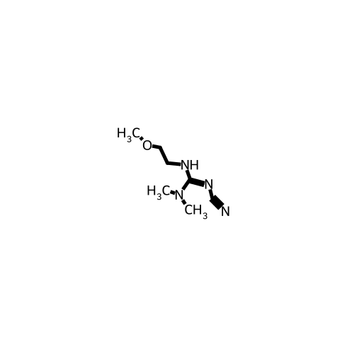 COCCN/C(=N/C#N)N(C)C